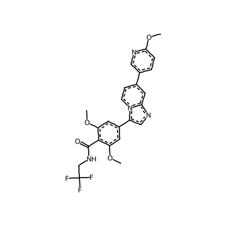 COc1ccc(-c2ccn3c(-c4cc(OC)c(C(=O)NCC(F)(F)F)c(OC)c4)cnc3c2)cn1